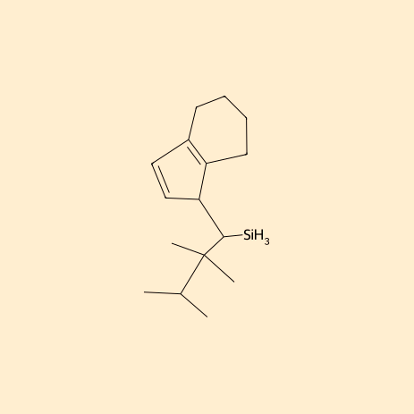 CC(C)C(C)(C)C([SiH3])C1C=CC2=C1CCCC2